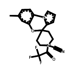 Cc1ccc2c(c1)OC1(CC[N+](C#N)(C(=O)C(F)(F)F)CC1)c1cccn1-2